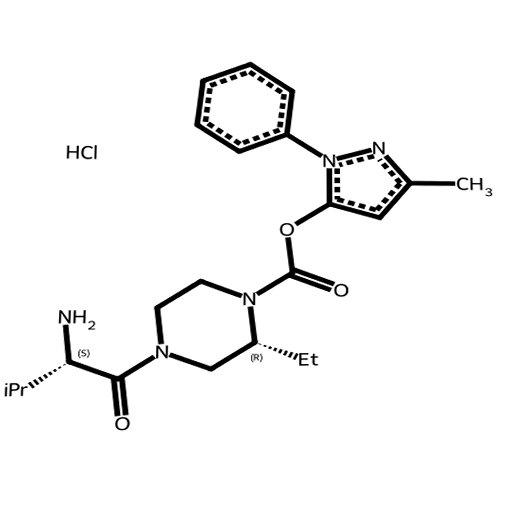 CC[C@@H]1CN(C(=O)[C@@H](N)C(C)C)CCN1C(=O)Oc1cc(C)nn1-c1ccccc1.Cl